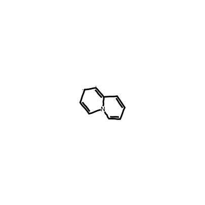 [C]1=C2C=CC=CN2C=C[CH]1